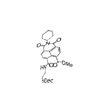 CCCCCCCCCCCCNC(=O)c1ccc2c3c(ccc(C(=O)OC)c13)C(=O)N(C1CCCCC1)C2=O